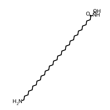 NCCCCCCCCCCCCCCCCCCCCCCCCCCCCCCCCCC(=O)NO